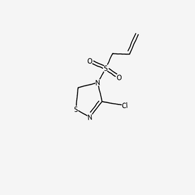 C=CCS(=O)(=O)N1CSN=C1Cl